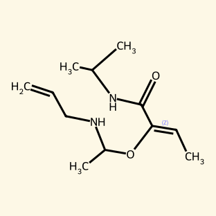 C=CCNC(C)O/C(=C\C)C(=O)NC(C)C